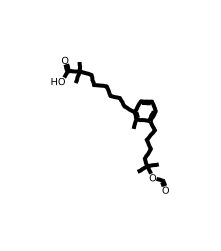 Cc1c(CCCCCCC(C)(C)C(=O)O)cccc1CCCCC(C)(C)OC=O